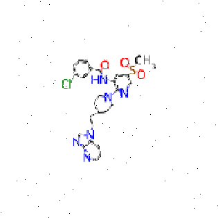 CS(=O)(=O)c1cnc(N2CCC(CCn3cnc4ncccc43)CC2)c(NC(=O)c2cccc(Cl)c2)c1